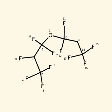 FC(C(F)(F)F)C(F)(F)OC(F)(F)CC(F)(F)F